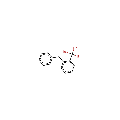 BrC(Br)(Br)c1ccccc1[CH]c1ccccc1